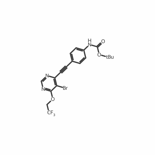 CC(C)(C)OC(=O)Nc1ccc(C#Cc2ncnc(OCC(F)(F)F)c2Br)cc1